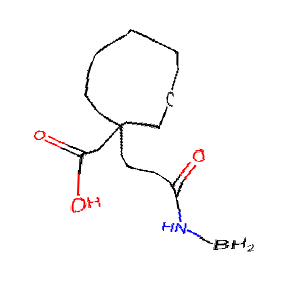 BNC(=O)CC1(C(=O)O)CCCCCC1